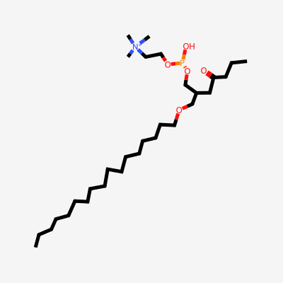 CCCCCCCCCCCCCCCCCOCC(COP(O)OCC[N+](C)(C)C)CC(=O)CCC